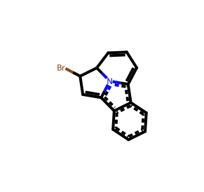 BrC1C=c2c3ccccc3c3n2C1C=CC=3